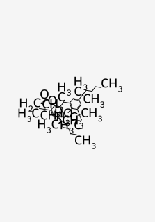 C=CC(=O)Oc1c(C(C)c2cc(C(C)(C)CCCCC)cc(C(C)(C)CC)c2O)cc(C(C)(C)CCCCC)cc1C(C)(C)CC